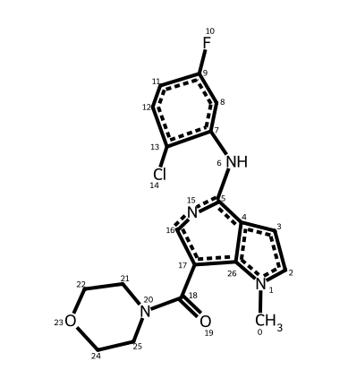 Cn1ccc2c(Nc3cc(F)ccc3Cl)ncc(C(=O)N3CCOCC3)c21